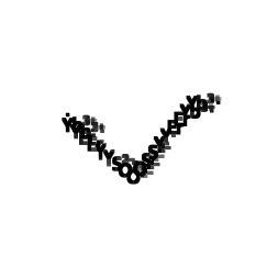 [Er].[Er].[Er].[Er].[O-2].[O-2].[O-2].[S-2].[S-2].[S-2].[Y].[Y].[Y].[Y].[Yb+3].[Yb+3].[Yb+3].[Yb+3]